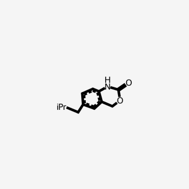 CC(C)Cc1ccc2c(c1)COC(=O)N2